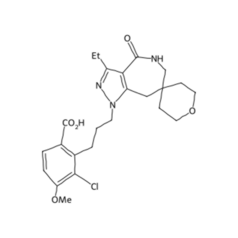 CCc1nn(CCCc2c(C(=O)O)ccc(OC)c2Cl)c2c1C(=O)NCC1(CCOCC1)C2